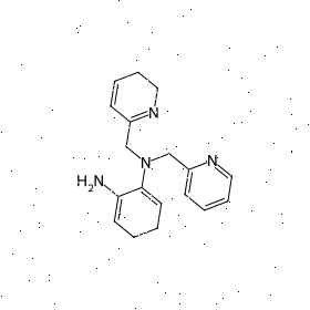 NC1=CCCC=C1N(CC1=NCCC=C1)Cc1ccccn1